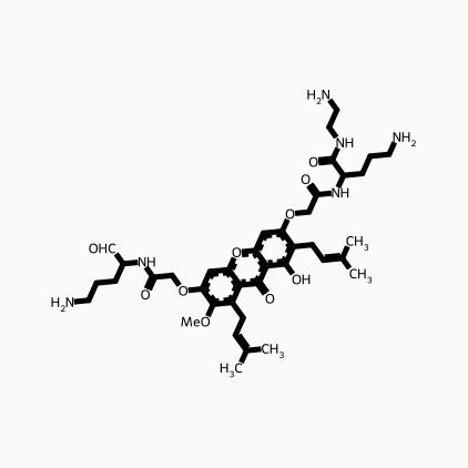 COc1c(OCC(=O)NC(C=O)CCCN)cc2oc3cc(OCC(=O)NC(CCCN)C(=O)NCCN)c(CC=C(C)C)c(O)c3c(=O)c2c1CC=C(C)C